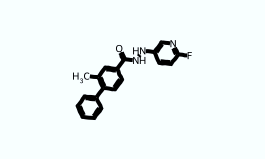 Cc1cc(C(=O)NNc2ccc(F)nc2)ccc1-c1ccccc1